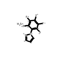 Fc1c(F)c(F)c(-n2cccn2)c(F)c1F.S